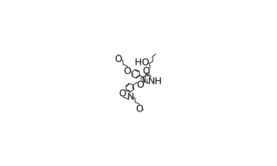 CCCC(O)CO[C@@H]1CNC[C@H](OCc2ccc3c(c2)N(CCCOC)CCO3)[C@H]1c1ccc(OCCCOC)cc1